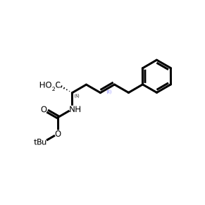 CC(C)(C)OC(=O)N[C@@H](C/C=C/Cc1ccccc1)C(=O)O